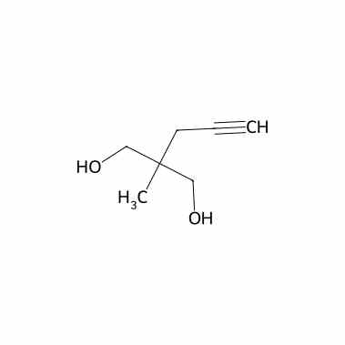 C#CCC(C)(CO)CO